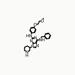 COCCOc1ccc(Nc2nc(NCc3ccccc3)c3ncn(C4CCCNC4)c3n2)cc1